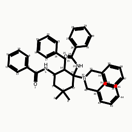 CC1(C)CC(NC(=O)c2ccccc2)C(Cc2ccccc2)[C](NC(=O)c2ccccc2)([Ti]([CH2]c2ccccc2)[CH2]c2ccccc2)C1